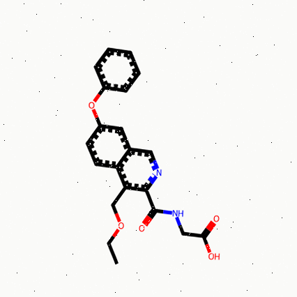 CCOCc1c(C(=O)NCC(=O)O)ncc2cc(Oc3ccccc3)ccc12